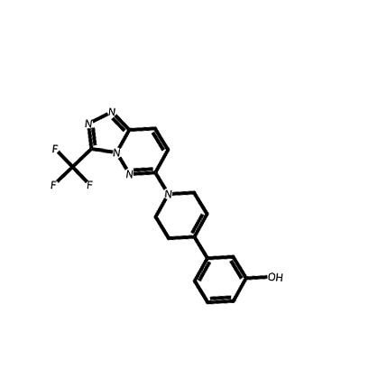 Oc1cccc(C2=CCN(c3ccc4nnc(C(F)(F)F)n4n3)CC2)c1